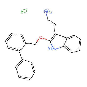 Cl.NCCc1c(OCc2ccccc2-c2ccccc2)[nH]c2ccccc12